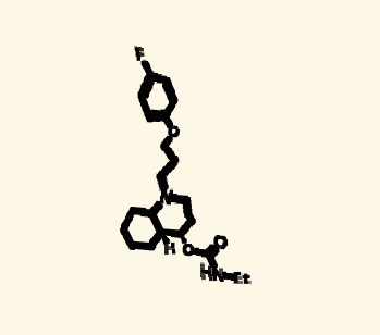 CCNC(=O)O[C@H]1CCN(CCCOc2ccc(F)cc2)C2CCCC[C@H]21